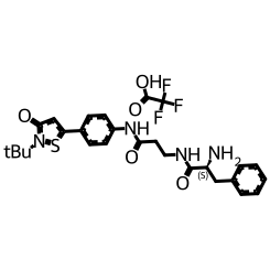 CC(C)(C)n1sc(-c2ccc(NC(=O)CCNC(=O)[C@@H](N)Cc3ccccc3)cc2)cc1=O.O=C(O)C(F)(F)F